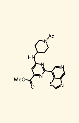 COC(=O)c1cc(NC2CCN(C(C)=O)CC2)nc(-c2cncc3ncsc23)n1